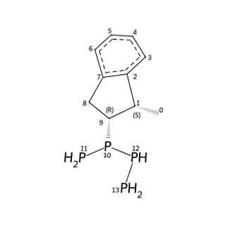 C[C@H]1c2ccccc2C[C@H]1P(P)PP